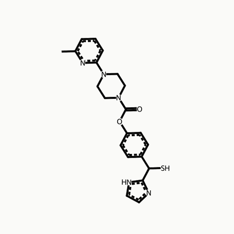 Cc1cccc(N2CCN(C(=O)Oc3ccc(C(S)c4ncc[nH]4)cc3)CC2)n1